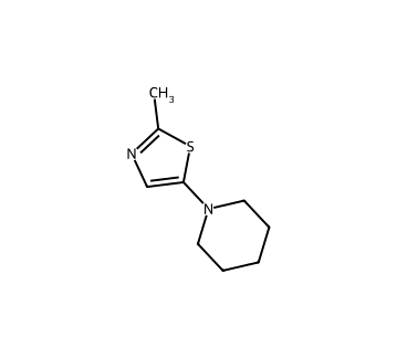 Cc1ncc(N2CCCCC2)s1